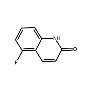 O=c1ccc2c(F)cccc2[nH]1